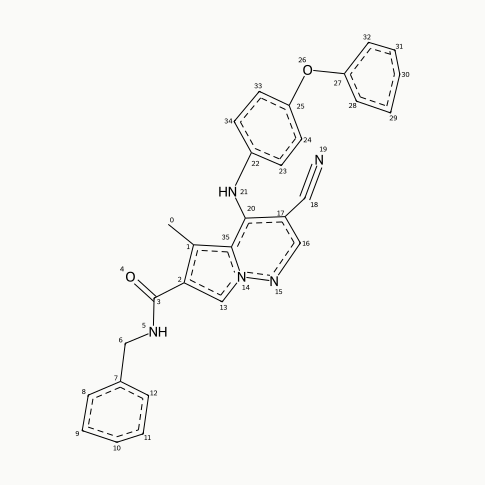 Cc1c(C(=O)NCc2ccccc2)cn2ncc(C#N)c(Nc3ccc(Oc4ccccc4)cc3)c12